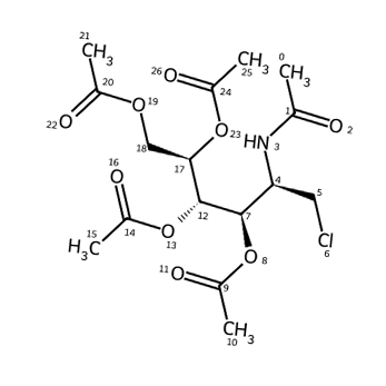 CC(=O)N[C@@H](CCl)[C@@H](OC(C)=O)[C@H](OC(C)=O)[C@@H](COC(C)=O)OC(C)=O